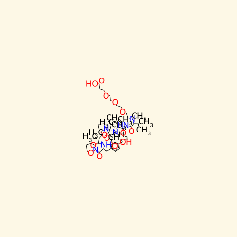 CC[C@H](C)[C@]([C@@H](CC=O)OC)(N(C)[C@H](C(=O)NC(=O)[C@H](C(C)C)N(C)CCOCCOCCOCCC(=O)O)C(C)C)N1CCC[C@H]1[C@H](OC)[C@@H](C)C(=O)N[C@@H](Cc1ccc(O)cc1)C(=O)N1CCCCO1